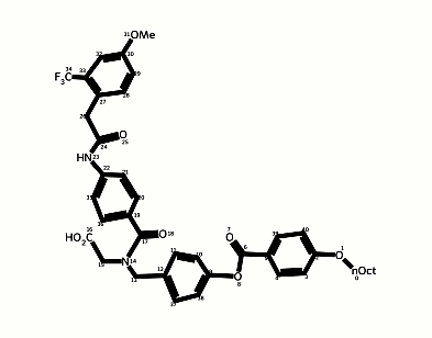 CCCCCCCCOc1ccc(C(=O)Oc2ccc(CN(CC(=O)O)C(=O)c3ccc(NC(=O)Cc4ccc(OC)cc4C(F)(F)F)cc3)cc2)cc1